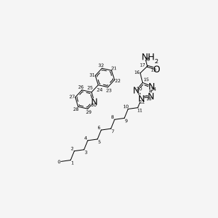 CCCCCCCCCCCCn1nnc(CC(N)=O)n1.c1ccc(-c2ccccn2)cc1